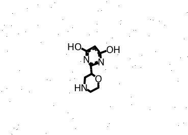 Oc1cc(O)nc(C2CNCCO2)n1